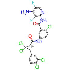 Nc1c(F)cnc(NC(=O)c2cc(NC(=O)[C@H]3C(c4ccc(Cl)c(Cl)c4)C3(Cl)Cl)ccc2Cl)c1F